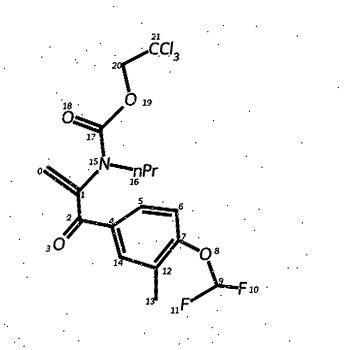 C=C(C(=O)c1ccc(OC(F)F)c(C)c1)N(CCC)C(=O)OCC(Cl)(Cl)Cl